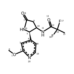 COc1cc([C@H]2NC(=O)CC2NC(=O)C(C)(F)F)ccn1